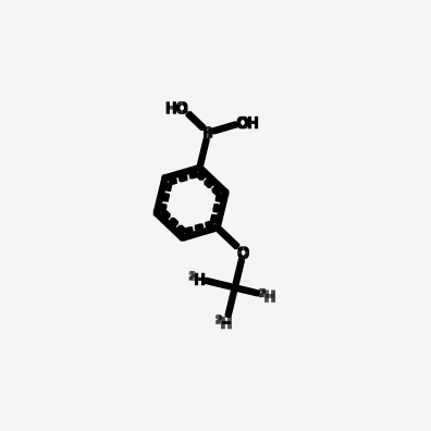 [2H]C([2H])([2H])Oc1cccc(B(O)O)c1